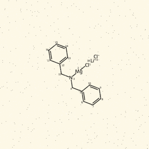 [Cl-].[Cl][Mg][N](Cc1ccccc1)Cc1ccccc1.[Li+]